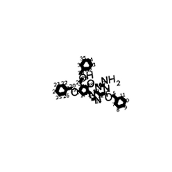 Nc1nc(OCc2ccccc2)c2ncn([C@H]3C[C@H](OCc4ccccc4)[C@@H](COCc4ccccc4)[C@@H]3O)c2n1